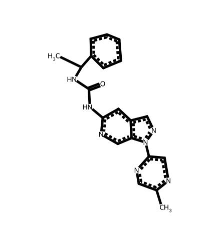 Cc1cnc(-n2ncc3cc(NC(=O)NC(C)c4ccccc4)ncc32)cn1